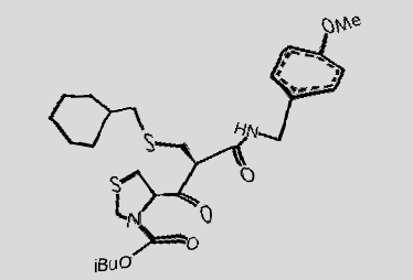 COc1ccc(CNC(=O)[C@H](CSCC2CCCCC2)C(=O)[C@@H]2CSCN2C(=O)OCC(C)C)cc1